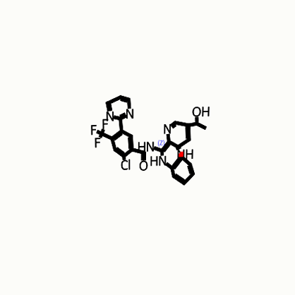 CC(O)C1=CC(=N)/C(=C(/NC(=O)c2cc(-c3ncccn3)c(C(F)(F)F)cc2Cl)Nc2ccccc2)N=C1